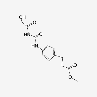 COC(=O)CCc1ccc(NC(=O)NC(=O)CO)cc1